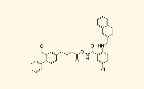 O=Cc1cc(CCCC(=O)ONC(=O)c2cc(Cl)ccc2NCc2ccc3ccccc3c2)ccc1-c1ccccc1